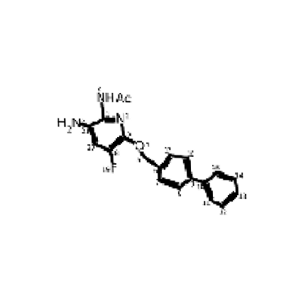 CC(=O)Nc1nc(OCc2ccc(-c3ccccc3)cc2)c(F)cc1N